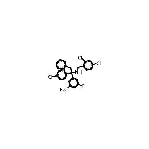 Fc1cc(C(F)(F)F)cc(C(Cc2ccccc2)(NCc2ccc(Cl)cc2Cl)c2ccc(Cl)cn2)c1